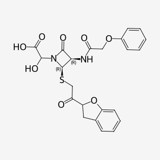 O=C(COc1ccccc1)N[C@@H]1C(=O)N(C(O)C(=O)O)[C@@H]1SCC(=O)C1Cc2ccccc2O1